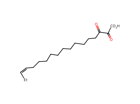 CC/C=C\CCCCCCCCCCCC(=O)C(=O)C(=O)O